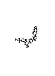 O=C(O)c1ccn2nc(CN3CCC(c4cccc(OCc5ccc(Cl)cc5F)n4)CC3)c(CC3CCO3)c2c1